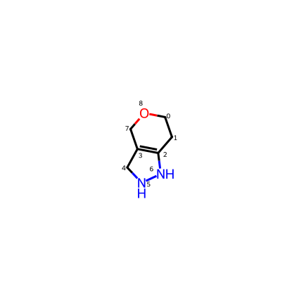 C1CC2=C(CNN2)CO1